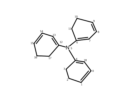 C1=CCCC(N(C2=CC=CCC2)C2=CC=CCC2)=C1